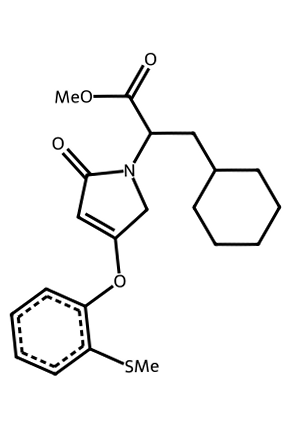 COC(=O)C(CC1CCCCC1)N1CC(Oc2ccccc2SC)=CC1=O